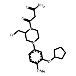 COc1ccc(N2CCN(C(=O)CC(N)=O)C(CC(C)C)C2)cc1OC1CCCC1